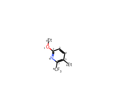 CCOc1ccc(CC)c(C(F)(F)F)n1